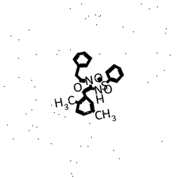 Cc1ccc(C)c(-c2oc(Cc3ccccc3)nc2NS(=O)(=O)c2ccccc2)c1